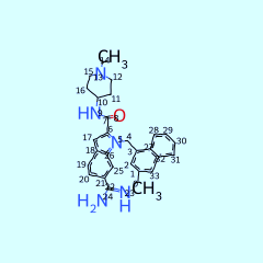 Cc1cc(Cn2c(C(=O)NC3CCN(C)CC3)cc3ccc(C(=N)N)cc32)c2ccccc2c1